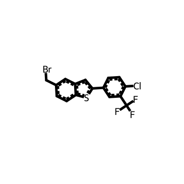 FC(F)(F)c1cc(-c2cc3cc(CBr)ccc3s2)ccc1Cl